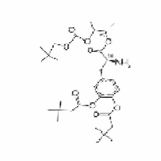 CC(OC(=O)OCC(C)(C)C)[C@H](C)OC(=O)[C@@H](N)Cc1ccc(OC(=O)CC(C)(C)C)c(OC(=O)CC(C)(C)C)c1